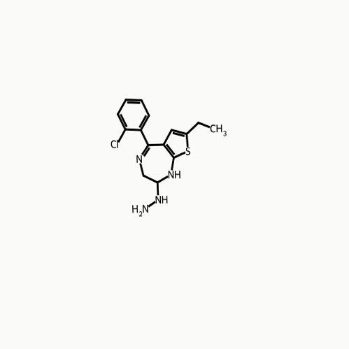 CCc1cc2c(s1)NC(NN)CN=C2c1ccccc1Cl